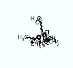 CCCCCC(OC(C)=O)c1ccc([C@@H]2[C@@H](CC=CCCCC(=O)OC)[C@H](Cl)C[C@H]2O[Si](C)(C)C(C)(C)C)cc1